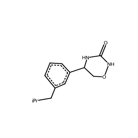 CC(C)Cc1cccc(C2CONC(=O)N2)c1